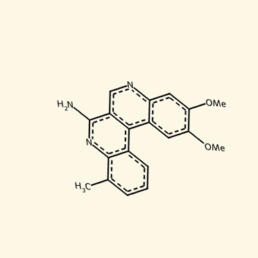 COc1cc2ncc3c(N)nc4c(C)cccc4c3c2cc1OC